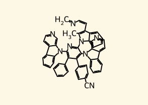 C=N/C=C\c1c(C)n(-c2nc(-n3c4ccccc4c4ccncc43)c(-c3ccccc3)c(-c3ccc(C#N)cc3)c2-n2c3ccccc3c3ccncc32)c2ccccc12